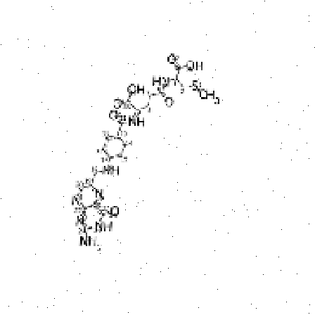 CSCC(NC(=O)CCC(NC(=O)c1ccc(NCc2cnc3nc(N)[nH]c(=O)c3n2)cc1)C(=O)O)C(=O)O